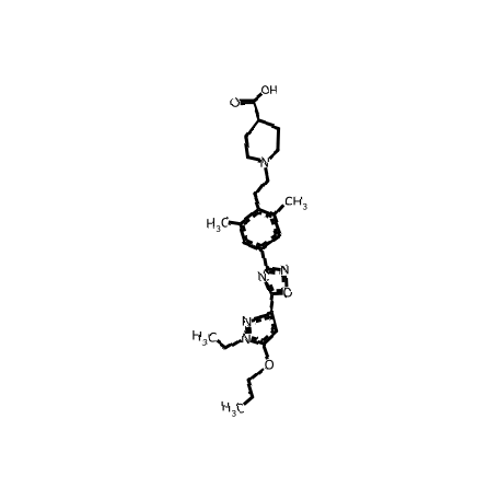 CCCOc1cc(-c2nc(-c3cc(C)c(CCN4CCC(C(=O)O)CC4)c(C)c3)no2)nn1CC